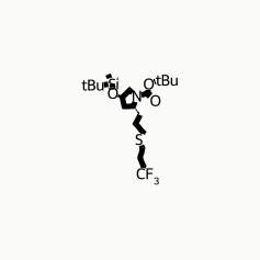 CC(C)(C)OC(=O)N1C[C@H](O[Si](C)(C)C(C)(C)C)C[C@H]1CCCSCCCC(F)(F)F